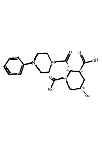 O=C(O)[C@H]1C[C@H](O)CN(C(=O)O)[C@@H]1C(=O)N1CCN(c2ccccc2)CC1